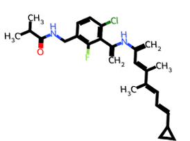 C=C(/C=C(C)/C(C)=C/C=C/C1CC1)NC(=C)c1c(Cl)ccc(CNC(=O)C(C)C)c1F